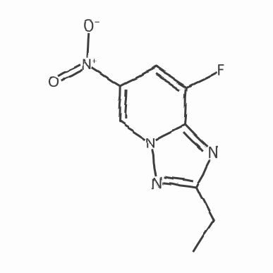 CCc1nc2c(F)cc([N+](=O)[O-])cn2n1